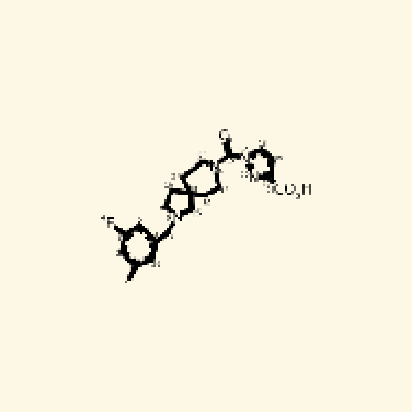 Cc1cc(F)cc(CN2CCC3(CCN(C(=O)n4ccc(C(=O)O)n4)CC3)C2)c1